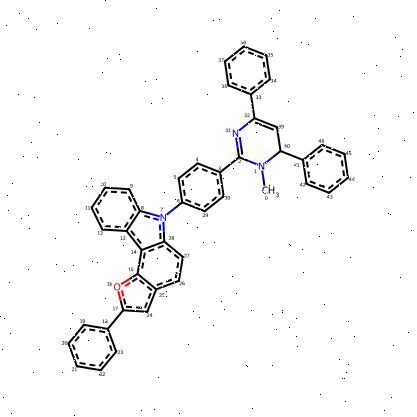 CN1C(c2ccc(-n3c4ccccc4c4c5oc(-c6ccccc6)cc5ccc43)cc2)=NC(c2ccccc2)=CC1c1ccccc1